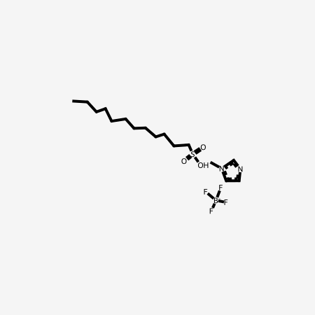 CCCCCCCCCCCCS(=O)(=O)O.Cn1ccnc1.F[B-](F)(F)F